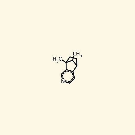 CC1C2CCC1(C)c1cnccc12